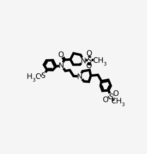 CSc1cccc(N(CCCN2CCC(Cc3ccc(S(C)(=O)=O)cc3)CC2)C(=O)C2CCN(S(C)(=O)=O)CC2)c1